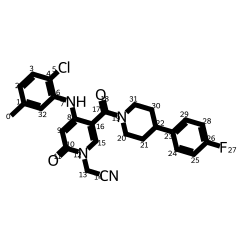 Cc1ccc(Cl)c(Nc2cc(=O)n(CC#N)cc2C(=O)N2CCC(c3ccc(F)cc3)CC2)c1